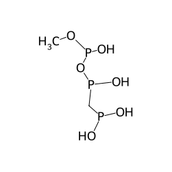 COP(O)OP(O)CP(O)O